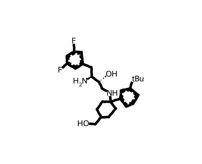 CC(C)(C)c1cccc(C2(NC[C@@H](O)[C@@H](N)Cc3cc(F)cc(F)c3)CCC(CO)CC2)c1